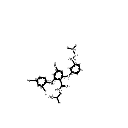 CC(O)CNC(=O)c1c(Nc2ccc(I)cc2F)cc(F)cc1Oc1cccc(NSN(C)C)c1